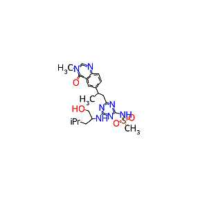 CC(C)CC(CO)Nc1nc(CC(C)c2ccc3ncn(C)c(=O)c3c2)nc(NS(C)(=O)=O)n1